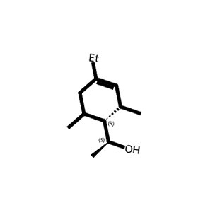 CCC1=CC(C)[C@H]([C@H](C)O)C(C)C1